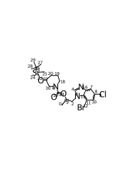 C[C@H](Cn1cnc2cc(Cl)cc(Br)c21)OC(=O)N1CCCC(O[Si](C)(C)C(C)(C)C)C1